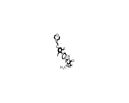 Cn1nnc2c(=O)[nH]c(N3CCN(c4c(F)cc(OCCN5CCOCC5)cc4F)CC3)nc21